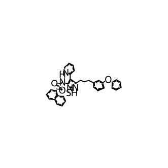 O=S(=O)(Nc1c(-c2ccccn2)c(CCCc2cccc(Oc3ccccc3)c2)nn1S)c1cccc2ccccc12